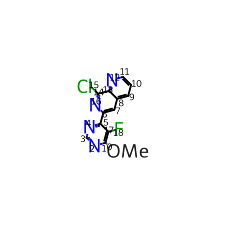 COc1ncnc(-c2cc3cccnc3c(Cl)n2)c1F